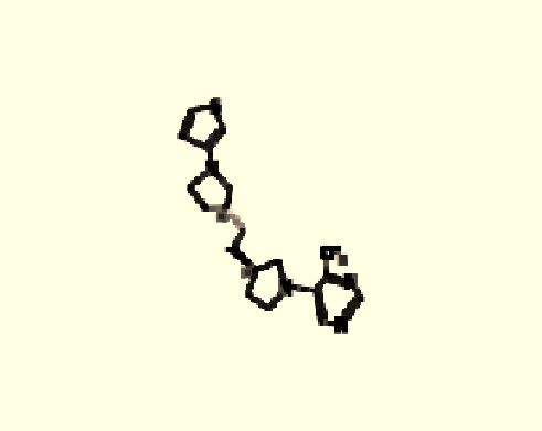 FC(F)(F)c1ncncc1N1CC[C@@H]([CH]C[C@@H]2CCN(c3ccsc3)C2)C1